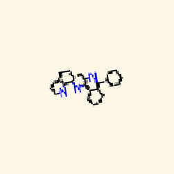 c1ccc(-c2nc3cc4ccc5cccnc5c4nc3c3ccccc23)cc1